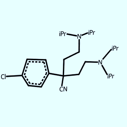 CC(C)N(CCC(C#N)(CCN(C(C)C)C(C)C)c1ccc(Cl)cc1)C(C)C